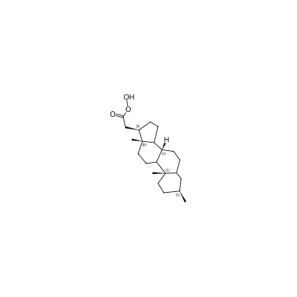 C[C@H]1CC[C@@]2(C)C(CC[C@@H]3C2CC[C@@]2(C)C3CC[C@@H]2CC(=O)OO)C1